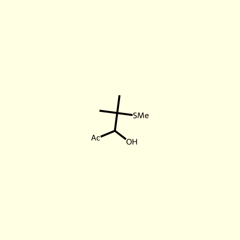 CSC(C)(C)C(O)C(C)=O